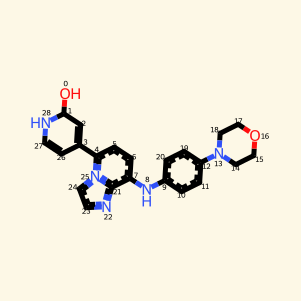 OC1C=C(c2ccc(Nc3ccc(N4CCOCC4)cc3)c3nccn23)C=CN1